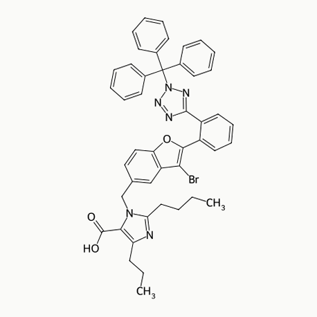 CCCCc1nc(CCC)c(C(=O)O)n1Cc1ccc2oc(-c3ccccc3-c3nnn(C(c4ccccc4)(c4ccccc4)c4ccccc4)n3)c(Br)c2c1